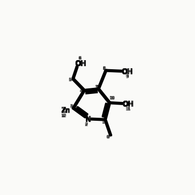 Cc1ncc(CO)c(CO)c1O.[Zn]